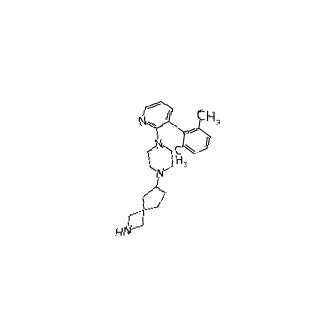 Cc1cccc(C)c1-c1cccnc1N1CCN(C2CCC3(CNC3)C2)CC1